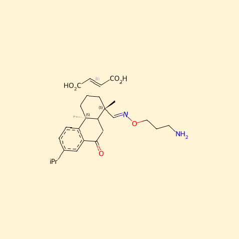 CC(C)c1ccc2c(c1)C(=O)CC1[C@@](C)(C=NOCCCN)CCC[C@]21C.O=C(O)/C=C/C(=O)O